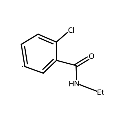 CCNC(=O)c1c[c]ccc1Cl